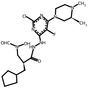 C[C@H]1CN(c2nc(Cl)nc(NNC(=O)[C@@H](CC3CCCC3)CN(O)C=O)c2F)CCN1C